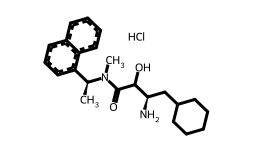 C[C@@H](c1cccc2ccccc12)N(C)C(=O)C(O)[C@H](N)CC1CCCCC1.Cl